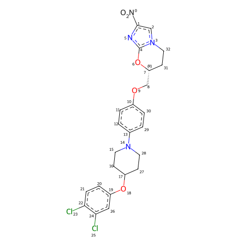 O=[N+]([O-])c1cn2c(n1)O[C@@H](COc1ccc(N3CCC(Oc4ccc(Cl)c(Cl)c4)CC3)cc1)CC2